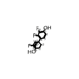 Oc1ccc(C23C=C(F)C(O)(CC2)CC3)c(F)c1F